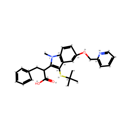 Cn1c(C(Cc2ccccc2)C(=O)O)c(SC(C)(C)C)c2cc(OCc3ccccn3)ccc21